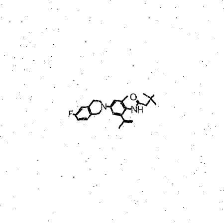 C=C(C)c1cc(N2CCc3cc(F)ccc3C2)cc(C)c1NC(=O)CC(C)(C)C